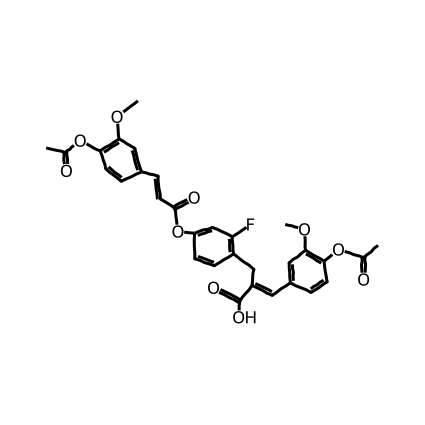 COc1cc(/C=C/C(=O)Oc2ccc(C/C(=C\c3ccc(OC(C)=O)c(OC)c3)C(=O)O)c(F)c2)ccc1OC(C)=O